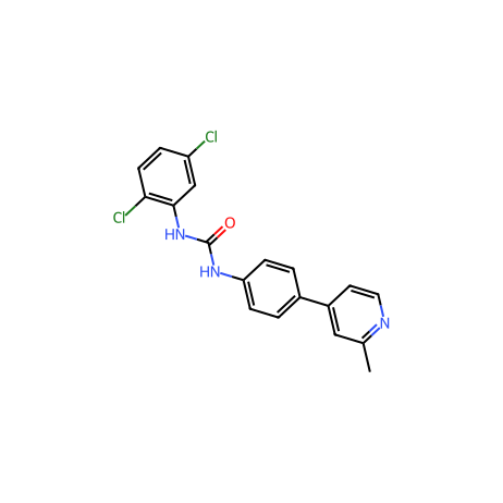 Cc1cc(-c2ccc(NC(=O)Nc3cc(Cl)ccc3Cl)cc2)ccn1